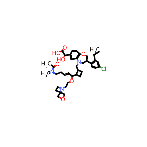 CCCc1cc(Cl)ccc1C1COc2ccc(C(O)C(=O)O)cc2N(CC2CCC2C(/C=C/CCN(C)C(C)=O)OCCN2CCC23COC3)C1